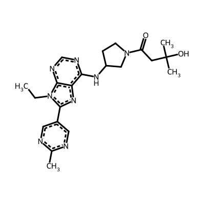 CCn1c(-c2cnc(C)nc2)nc2c(NC3CCN(C(=O)CC(C)(C)O)C3)ncnc21